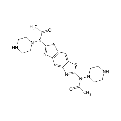 CC(=O)N(c1nc2cc3nc(N(C(C)=O)N4CCNCC4)sc3cc2s1)N1CCNCC1